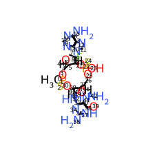 CP1(=S)OC[C@H]2OC[C@](F)(n3cnc4c(N)ncnc43)[C@@H]2OP(O)(=S)OC[C@@H]2C[C@@H](O1)[C@H](Nc1nc(N)[nH]c(=O)c1NN)O2